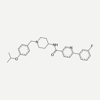 CC(C)Oc1ccc(CN2CCC(NC(=O)c3ccc(-c4cccc(F)c4)nc3)CC2)cc1